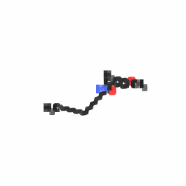 CCCCCCCC/C=C\CCCCCCCCNC(=O)[C@@H](C)c1ccc2cc(OC)ccc2c1